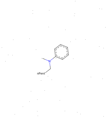 [CH2]N(CCCCCC)c1ccccc1